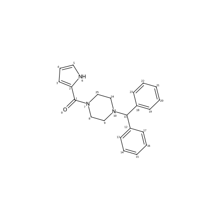 O=C(c1ccc[nH]1)N1CCN(C(c2ccccc2)c2ccccc2)CC1